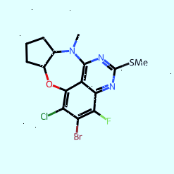 CSc1nc2c3c(c(Cl)c(Br)c(F)c3n1)OC1CCCC1N2C